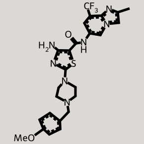 COc1ccc(CN2CCN(c3nc(N)c(C(=O)Nc4cc(C(F)(F)F)c5nc(C)cn5c4)s3)CC2)cc1